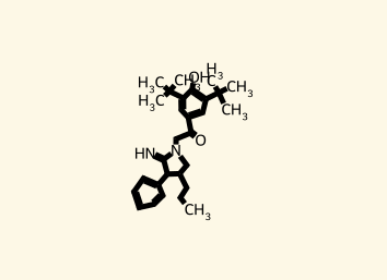 CCCC1CN(CC(=O)c2cc(C(C)(C)C)c(O)c(C(C)(C)C)c2)C(=N)C1c1ccccc1